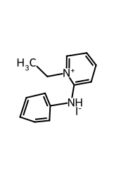 CC[n+]1ccccc1Nc1ccccc1.[I-]